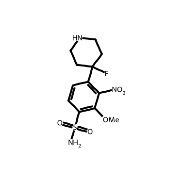 COc1c(S(N)(=O)=O)ccc(C2(F)CCNCC2)c1[N+](=O)[O-]